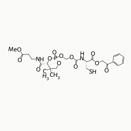 COC(=O)CCNC(=O)[C@@H]1OP(=O)(OCOC(=O)N[C@@H](CS)C(=O)OCC(=O)c2ccccc2)OCC1(C)C